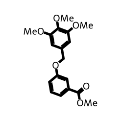 COC(=O)c1cccc(OCc2cc(OC)c(OC)c(OC)c2)c1